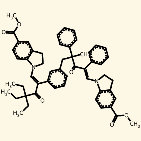 CCC(CC)(CC)C(=O)/C(=C/N1CCc2cc(C(=O)OC)ccc21)c1cccc(CC(C)(C(=O)/C(=C/N2CCc3cc(C(=O)OC)ccc32)c2ccccc2)c2ccccc2)c1